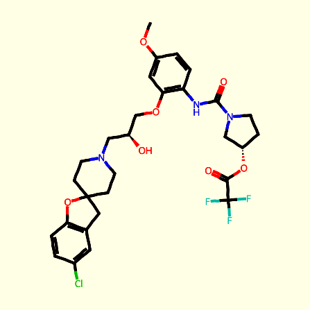 COc1ccc(NC(=O)N2CC[C@H](OC(=O)C(F)(F)F)C2)c(OC[C@@H](O)CN2CCC3(CC2)Cc2cc(Cl)ccc2O3)c1